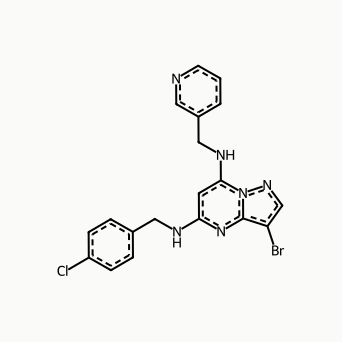 Clc1ccc(CNc2cc(NCc3cccnc3)n3ncc(Br)c3n2)cc1